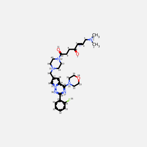 CN(C)C/C=C/C(=O)CCC(=O)N1CCN(Cc2cc3c(N4CCOCC4)nc(-c4ccccc4F)nn3c2)CC1